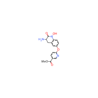 COC(=O)c1ccc(Oc2ccc3c(c2)CC(N)C(=O)N3O)nc1